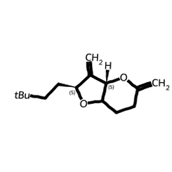 C=C1CCC2O[C@@H](CCC(C)(C)C)C(=C)[C@@H]2O1